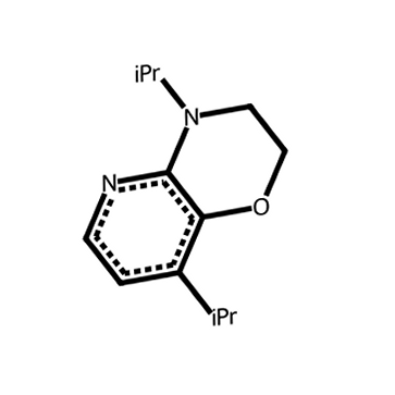 CC(C)c1ccnc2c1OCCN2C(C)C